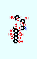 CC[C@@]1(O)C[C@H](O[C@@H]2C[C@H](N(C)C)[C@H](O[C@@H]3C[C@@H](O)[C@@H](O[C@H]4CC[C@@H](O)[C@@H](C)O4)[C@@H](C)O3)[C@H](C)O2)c2c(O)c3c(c(O)c2[C@H]1O)C(=O)c1cccc(O)c1C3=O